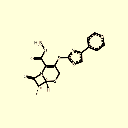 BOC(=O)C1=C(Sc2nc(-c3ccncc3)cs2)CS[C@@H]2[C@H](C)C(=O)N12